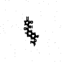 O=C(NC1CCNC1=O)c1cnc2cc(OC(F)F)c(F)cc2c1